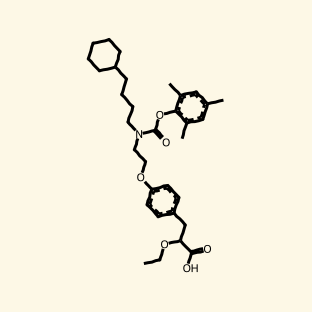 CCOC(Cc1ccc(OCCN(CCCCC2CCCCC2)C(=O)Oc2c(C)cc(C)cc2C)cc1)C(=O)O